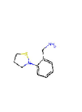 NCc1ccccc1N1CCCS1